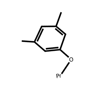 Cc1cc(C)cc([O][Pr])c1